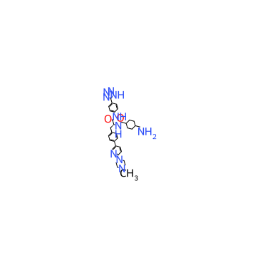 CN1CCN(c2ccc(-c3ccc(C[C@H](NC(=O)C4CCC(CN)CC4)C(=O)Nc4ccc(-c5nnn[nH]5)cc4)cc3)cn2)CC1